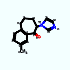 Cc1ccc2c(c1)C(=O)C(n1ccnc1)CCC2